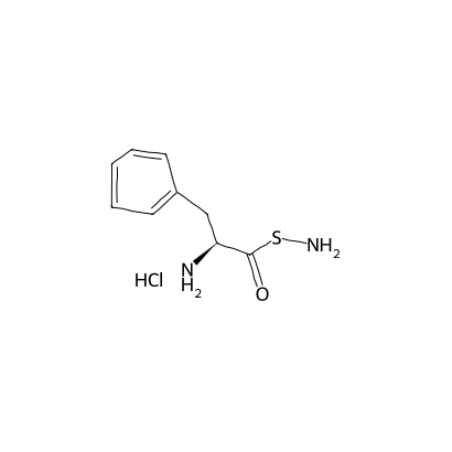 Cl.NSC(=O)[C@@H](N)Cc1ccccc1